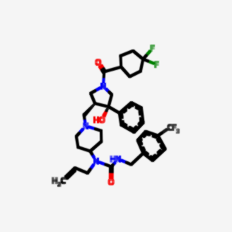 C=CCN(C(=O)NCc1ccc(C(F)(F)F)cc1)C1CCN(C[C@H]2CN(C(=O)C3CCC(F)(F)CC3)C[C@]2(O)c2ccccc2)CC1